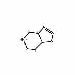 C1=NC2CNCCC2O1